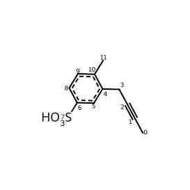 CC#CCc1cc(S(=O)(=O)O)ccc1C